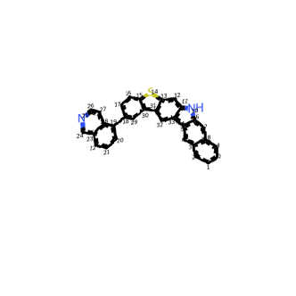 c1ccc2cc3c(cc2c1)[nH]c1cc2sc4ccc(-c5cccc6cnccc56)cc4c2cc13